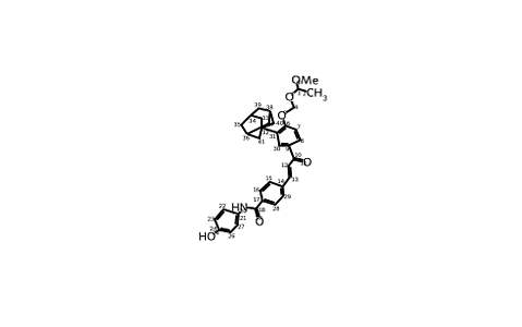 COC(C)OCOc1ccc(C(=O)C=Cc2ccc(C(=O)Nc3ccc(O)cc3)cc2)cc1C12CC3CC(CC(C3)C1)C2